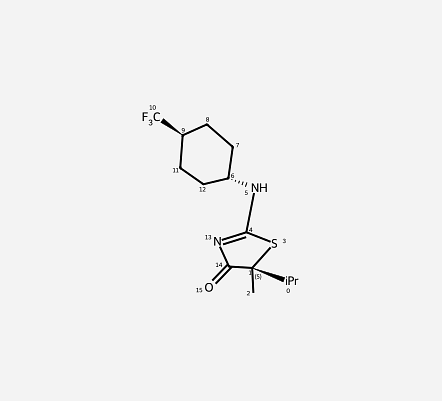 CC(C)[C@]1(C)SC(N[C@H]2CC[C@H](C(F)(F)F)CC2)=NC1=O